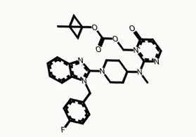 CN(c1nccc(=O)n1COC(=O)OC12CC1(C)C2)C1CCN(c2nc3ccccc3n2Cc2ccc(F)cc2)CC1